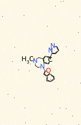 CN1CCN(c2cc3ccccc3o2)c2ccc(-c3cccnn3)cc2C1